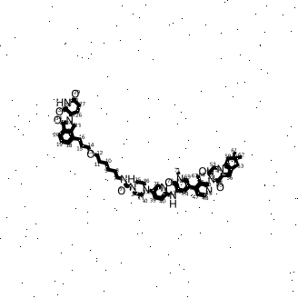 C[C@@H]1CN(C(=O)NCCCCCCOCCCc2cccc3c2CN(C2CCC(=O)NC2=O)C3=O)CCN1c1ccc(Nc2cc(-c3ccnc(N4CCn5c(cc6c5CC(C)(C)C6)C4=O)c3CO)cn(C)c2=O)nc1